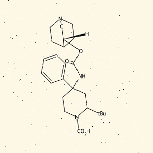 CC(C)(C)C1CC(NC(=O)O[C@H]2CN3CCC2CC3)(c2ccccc2)CCN1C(=O)O